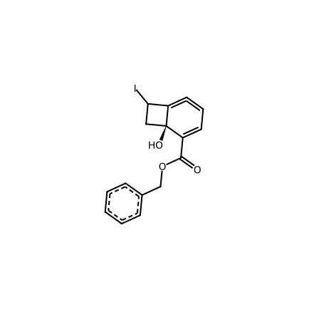 O=C(OCc1ccccc1)C1=CC=C=C2C(I)C[C@]21O